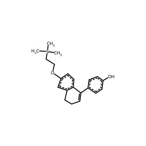 C[Si](C)(C)CCOc1ccc2c(c1)CCC=C2c1ccc(O)cc1